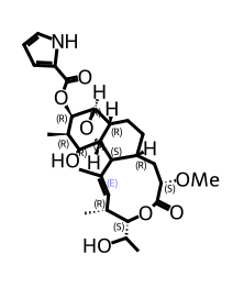 CO[C@H]1C[C@H]2CC[C@H]3[C@H]4O[C@]2(/C(C)=C/[C@@H](C)[C@@H](C(C)O)OC1=O)[C@@H]3[C@H](O)[C@@H](C)[C@H]4OC(=O)c1ccc[nH]1